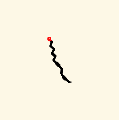 [CH2]C#CC=CC#CCC=CCCC=O